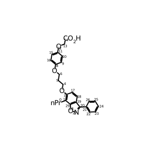 CCCc1c(OCCCOc2ccc(OCC(=O)O)cc2)ccc2c(-c3ccccc3)noc12